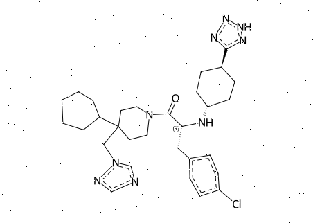 O=C([C@@H](Cc1ccc(Cl)cc1)N[C@H]1CC[C@H](c2nn[nH]n2)CC1)N1CCC(Cn2cncn2)(C2CCCCC2)CC1